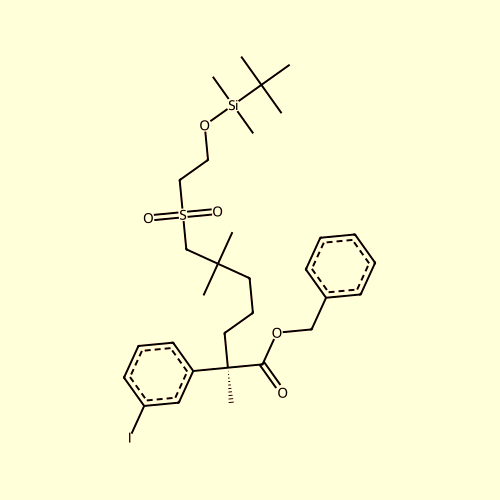 CC(C)(CCC[C@@](C)(C(=O)OCc1ccccc1)c1cccc(I)c1)CS(=O)(=O)CCO[Si](C)(C)C(C)(C)C